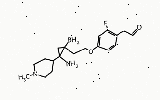 BC1(CCOc2ccc(CC=O)c(F)c2)CC1(N)C1CCN(C)CC1